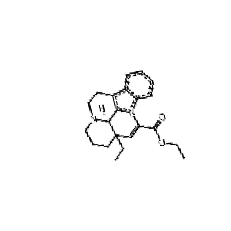 CCOC(=O)C1=CC2(CC)CCCN3CCc4c(n1c1ccccc41)[C@H]32